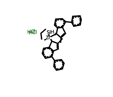 CC1=Cc2c(-c3ccccc3)cccc2[CH]1[Zr]([CH3])([SiH3])[CH]1C(C)=Cc2c(-c3ccccc3)cccc21.CCC.Cl.Cl